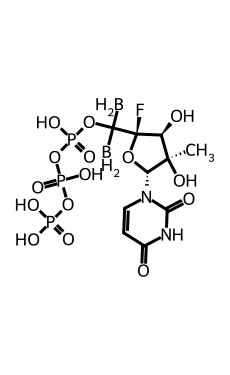 BC(B)(OP(=O)(O)OP(=O)(O)OP(=O)(O)O)[C@@]1(F)O[C@@H](n2ccc(=O)[nH]c2=O)[C@](C)(O)[C@@H]1O